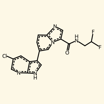 O=C(NCC(F)F)c1cnc2ccc(-c3c[nH]c4ncc(Cl)cc34)cn12